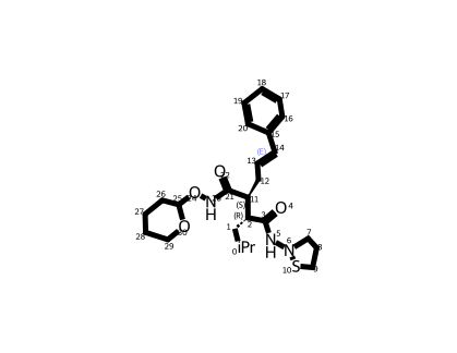 CC(C)C[C@@H](C(=O)NN1CCCS1)[C@H](C/C=C/c1ccccc1)C(=O)NOC1CCCCO1